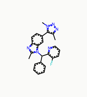 Cc1nnn(C)c1-c1ccc2nc(C)n(C(c3ccccc3)c3ncccc3F)c2c1